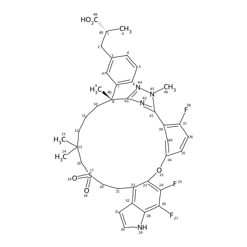 C[C@H](Cc1cccc([C@@]2(C)CCCC(C)(C)CS(=O)(=O)CCc3c(c(F)c(F)c4[nH]ccc34)Oc3ccc(F)c(c3)-c3nc2nn3C)c1)C(=O)O